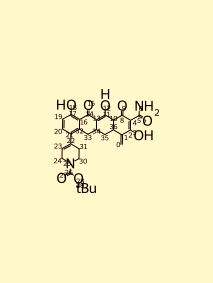 C=C1C(O)=C(C(N)=O)C(=O)C2C(O)=C3C(=O)c4c(O)ccc(C5=CCN(C(=O)OC(C)(C)C)CC5)c4CC3CC12